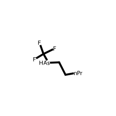 CCCCC[AsH]C(F)(F)F